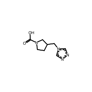 O=C(O)N1CCC(Cn2cnnc2)C1